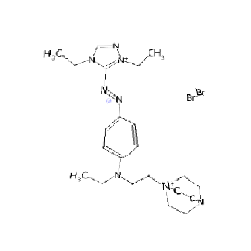 CCN(CC[N+]12CCN(CC1)CC2)c1ccc(/N=N/c2n(CC)cn[n+]2CC)cc1.[Br-].[Br-]